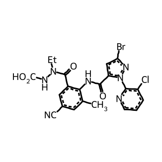 CCN(NC(=O)O)C(=O)c1cc(C#N)cc(C)c1NC(=O)c1cc(Br)nn1-c1ncccc1Cl